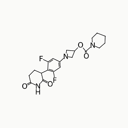 O=C1CCC(c2c(F)cc(N3CC(OC(=O)N4CCCCC4)C3)cc2F)C(=O)N1